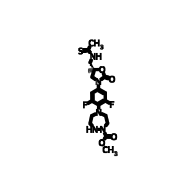 COC(=O)N1CCN(c2c(F)cc(N3C[C@H](CNC(C)=S)OC3=O)cc2F)CCN1